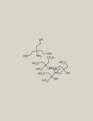 NC(CCO)(CCO)CCO.O=C(O)CC(O)(CC(=O)O)C(=O)O.O=C(O)CC(O)(CC(=O)O)C(=O)O.O=C(O)CC(O)(CC(=O)O)C(=O)O